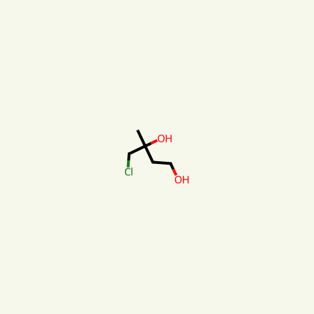 CC(O)(CCl)CCO